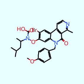 COc1ccc(Cn2c(=O)c3c(C)nccc3c3cc(Br)c(ON(C(=O)O)C(C)CC(C)C)cc32)cc1